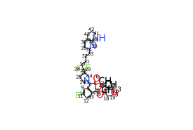 CC(C)(C)OC(=O)C(c1cc(F)ccc1COC1CCOCC1)N1CCC(C(F)(F)CCCCc2ccc3c(n2)NCCC3)C1